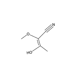 COC(C#N)=C(C)O